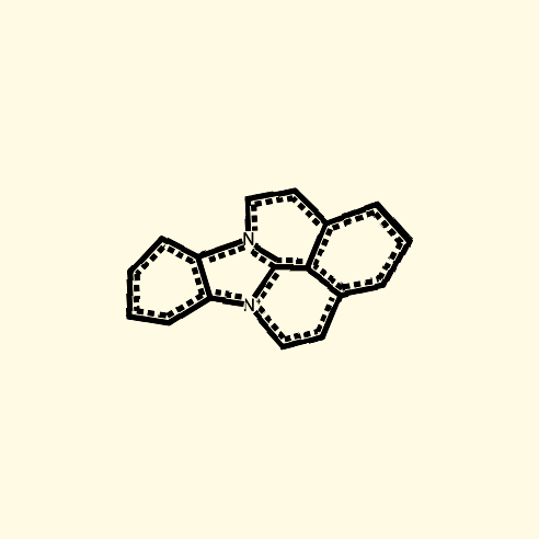 c1cc2ccn3c4ccccc4[n+]4ccc(c1)c2c34